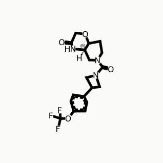 O=C1COC2CCN(C(=O)N3CC(c4ccc(OC(F)(F)F)cc4)C3)C[C@H]2N1